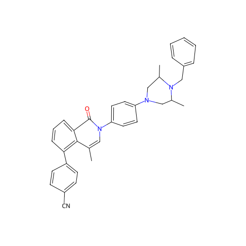 Cc1cn(-c2ccc(N3CC(C)N(Cc4ccccc4)C(C)C3)cc2)c(=O)c2cccc(-c3ccc(C#N)cc3)c12